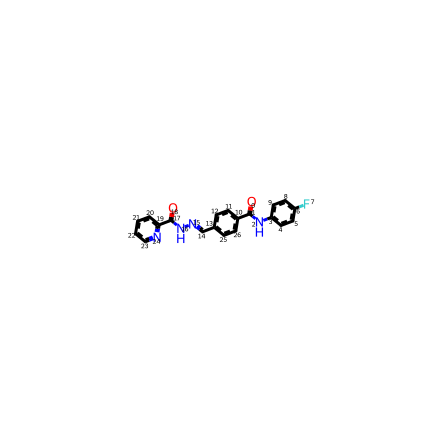 O=C(Nc1ccc(F)cc1)c1ccc(C=NNC(=O)c2ccccn2)cc1